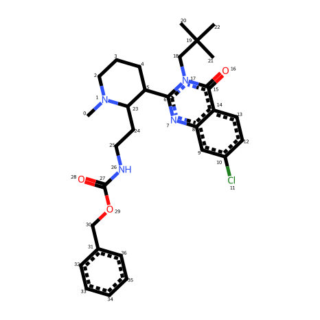 CN1CCCC(c2nc3cc(Cl)ccc3c(=O)n2CC(C)(C)C)C1CCNC(=O)OCc1ccccc1